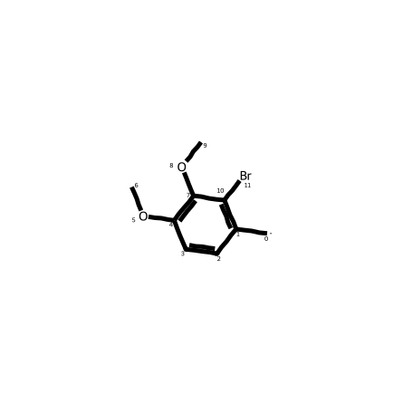 [CH2]c1ccc(OC)c(OC)c1Br